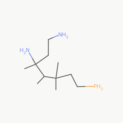 CC(C(C)(C)CCP)C(C)(N)CCN